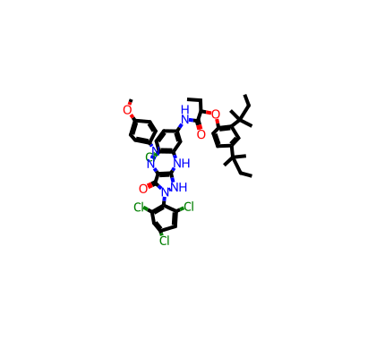 CCC(Oc1ccc(C(C)(C)CC)cc1C(C)(C)CC)C(=O)Nc1ccc(Cl)c(Nc2[nH]n(-c3c(Cl)cc(Cl)cc3Cl)c(=O)c2N=Nc2ccc(OC)cc2)c1